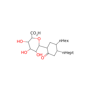 CCCCCCCC1CC(=O)C(C2OC(C(=O)O)C(O)C(O)C2O)CC1CCCCCC